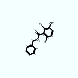 O=Nc1ccc(F)c(C(=O)OCc2ccccc2)c1F